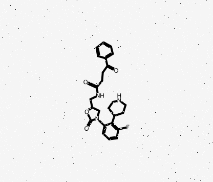 O=C(CCC(=O)c1ccccc1)NCC1CN(c2cccc(F)c2C2CCNCC2)C(=O)O1